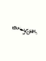 CC(C)(C)C#CC(C)(C)O[SiH3]